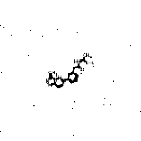 Cc1nnc2ccc(-c3cccc(CC(=O)NC(C)C)c3)nn12